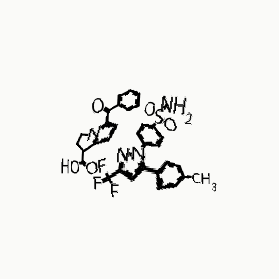 Cc1ccc(-c2cc(C(F)(F)F)nn2-c2ccc(S(N)(=O)=O)cc2)cc1.O=C(c1ccccc1)c1ccc2n1CCC2C(=O)O